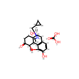 O=C(O)O.O=C1CC[C@@]2(O)[C@H]3Cc4ccc(O)c5c4[C@@]2(CCN3CC2CC2)[C@H]1O5